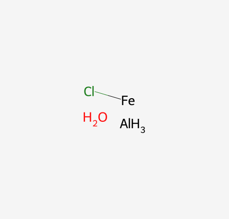 O.[AlH3].[Cl][Fe]